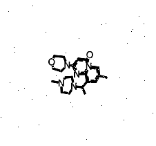 Cc1cc(C(C)N2CCN(C)CC2)c2nc(N3CCOCC3)cc(=O)n2c1